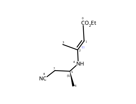 CCOC(=O)/C=C(\C)N[C@@H](C)CC#N